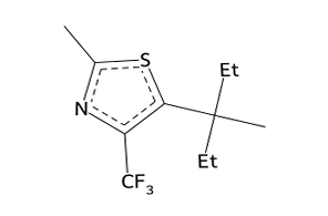 CCC(C)(CC)c1sc(C)nc1C(F)(F)F